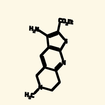 CCOC(=O)c1sc2nc3c(cc2c1N)CN(C)CC3